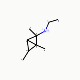 CCNC1(C)C2C(C)C21C